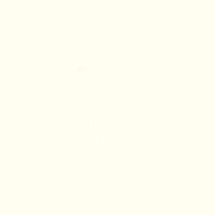 O=COCOC(=O)OC1CCCC1